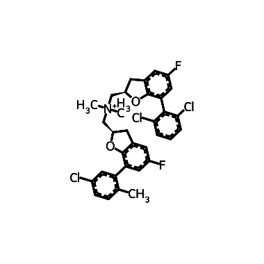 Cc1ccc(Cl)cc1-c1cc(F)cc2c1O[C@@H](C[N+](C)(C)C[C@H]1Cc3cc(F)cc(-c4c(Cl)cccc4Cl)c3O1)C2